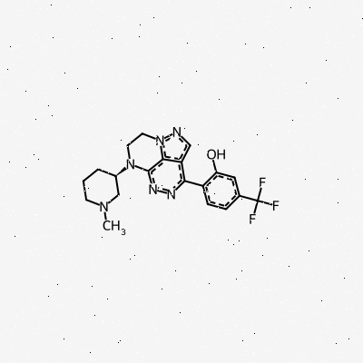 CN1CCC[C@@H](N2CCn3ncc4c(-c5ccc(C(F)(F)F)cc5O)nnc2c43)C1